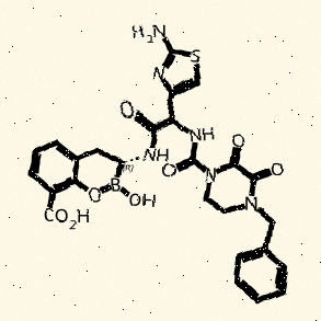 Nc1nc(C(NC(=O)N2CCN(Cc3ccccc3)C(=O)C2=O)C(=O)N[C@H]2Cc3cccc(C(=O)O)c3OB2O)cs1